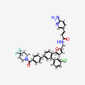 Nc1ccc(C=CC(=O)NCc2ccc(-c3ccc(-c4ccc(C(=O)N5CCC(F)(F)CC5)cc4)cc3-c3cccc(Cl)c3)o2)cn1